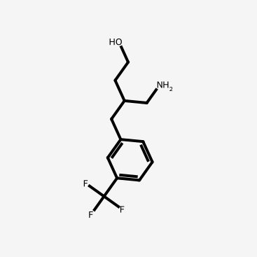 NCC(CCO)Cc1cccc(C(F)(F)F)c1